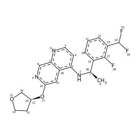 C[C@@H](Nc1ccnc2cnc(O[C@H]3CCOC3)cc12)c1cccc(C(F)F)c1F